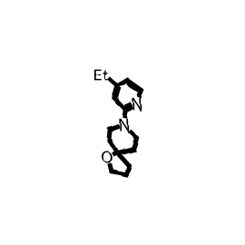 CCc1ccnc(N2CCC3(CCCO3)CC2)c1